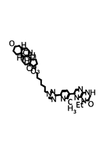 CCN1C(=O)CNc2ncc(-c3ccc(-c4ncn(CCCCCCO[C@H]5CC[C@H]6[C@@H]7CC[C@H]8CC(=O)CC[C@]8(C)[C@H]7CC[C@]56C)n4)nc3C)nc21